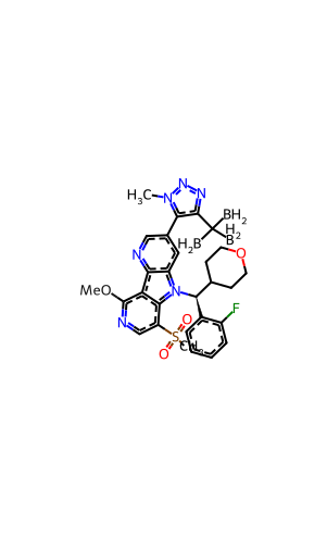 BC(B)(B)c1nnn(C)c1-c1cnc2c3c(OC)ncc(S(C)(=O)=O)c3n([C@H](c3ccccc3F)C3CCOCC3)c2c1